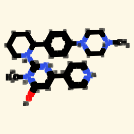 CN1CCN(c2ccc(C3CCCCN3c3nc(-c4ccncc4)cc(=O)n3C)cc2)CC1